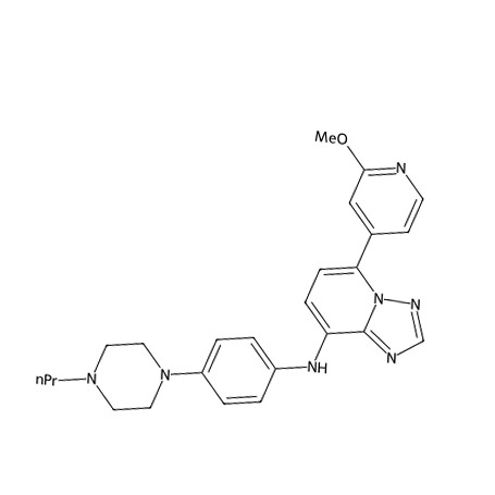 CCCN1CCN(c2ccc(Nc3ccc(-c4ccnc(OC)c4)n4ncnc34)cc2)CC1